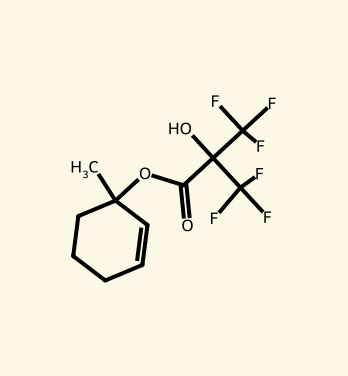 CC1(OC(=O)C(O)(C(F)(F)F)C(F)(F)F)C=CCCC1